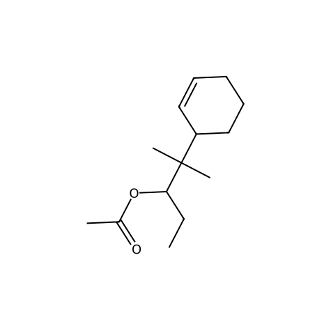 CCC(OC(C)=O)C(C)(C)C1C=CCCC1